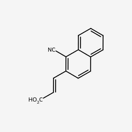 N#Cc1c(C=CC(=O)O)ccc2ccccc12